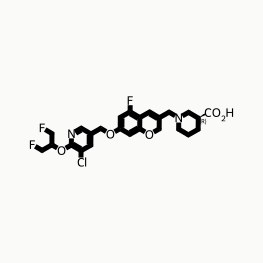 O=C(O)[C@@H]1CCCN(CC2=Cc3c(F)cc(OCc4cnc(OC(CF)CF)c(Cl)c4)cc3OC2)C1